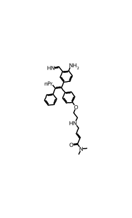 CCC/C(=C(/c1ccc(OCCNC/C=C/C(=O)N(C)C)cc1)c1ccc(N)c(C=N)c1)c1ccccc1